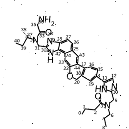 CCCC(=O)N(CCC)Cc1ncc(-c2ccc3c(c2)COc2cc4c(ccc5nc(CN(C(=O)CN)[C@@H](C)CC)[nH]c54)cc2-3)[nH]1